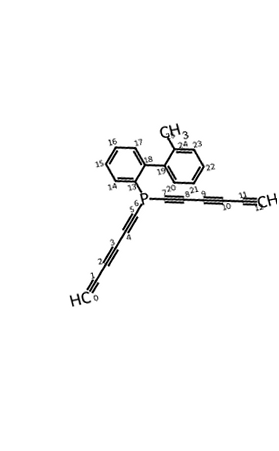 C#CC#CC#CP(C#CC#CC#C)c1ccccc1-c1ccccc1C